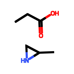 CC1CN1.CCC(=O)O